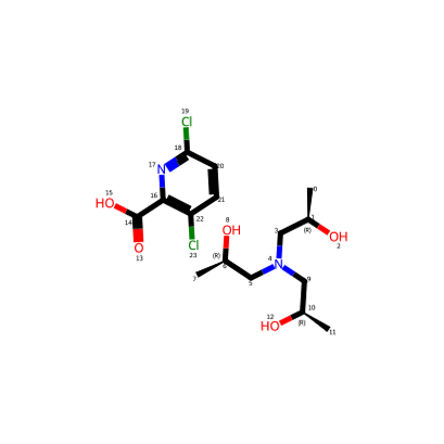 C[C@@H](O)CN(C[C@@H](C)O)C[C@@H](C)O.O=C(O)c1nc(Cl)ccc1Cl